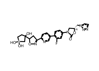 O=C1O[C@@H](Cn2ccnn2)CN1c1ccc(-c2ccc(C3=NOC(C4(O)CCS(O)(O)C4)C3)nc2)c(F)c1